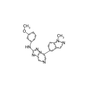 COc1cccc(Nc2nc3cncc(-c4ccc5c(cnn5C)c4)n3n2)c1